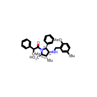 COc1ccc(C(C)(C)C)cc1CN[C@H]1[C@H](C(C)(C)C)[C@@H](C(=O)O)N(C(=O)C(OC)c2ccccc2)[C@H]1c1ccccc1